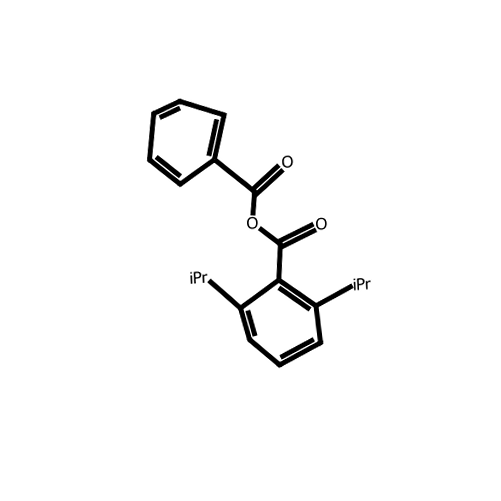 CC(C)c1cccc(C(C)C)c1C(=O)OC(=O)c1ccccc1